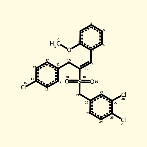 COc1ccccc1/C=C(\Cc1ccc(Cl)cc1)S(=O)(=O)Cc1ccc(Cl)c(Cl)c1